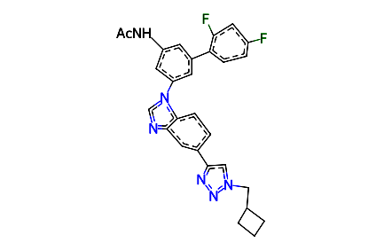 CC(=O)Nc1cc(-c2ccc(F)cc2F)cc(-n2cnc3cc(-c4cn(CC5CCC5)nn4)ccc32)c1